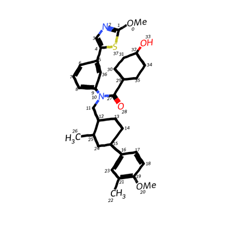 COc1ncc(-c2cccc(N(CC3CCC(c4ccc(OC)c(C)c4)CC3C)C(=O)C3CCC(O)CC3)c2)s1